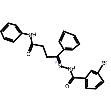 O=C(CC/C(=N/NC(=O)c1cccc(Br)c1)c1ccccc1)Nc1ccccc1